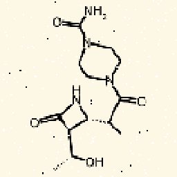 CC(C(=O)N1CCN(C(N)=O)CC1)[C@H]1NC(=O)[C@@H]1[C@@H](C)O